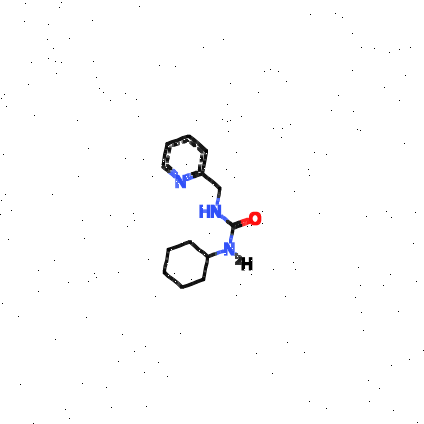 [2H]N(C(=O)NCc1ccccn1)C1CCCCC1